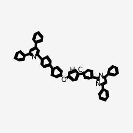 CC1(c2ccc(Oc3ccc(-c4ccc(-c5cc(-c6ccccc6)cc(-c6ccccc6)n5)cc4)cc3)cc2)C=CC(c2nc(-c3ccccc3)cc(-c3ccccc3)n2)=CC1